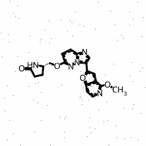 COc1nccc2oc(-c3cnc4ccc(OC[C@@H]5CCC(=O)N5)nn34)cc12